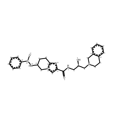 O=C(NC[C@@H](O)CN1CCc2ccccc2C1)c1cn2c(n1)CCC(N[S+]([O-])c1ccccc1)C2